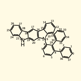 c1ccc(-c2cccc(-n3c4ccccc4c4cc5c(cc43)[nH]c3ccccc35)c2-c2ccccc2)cc1